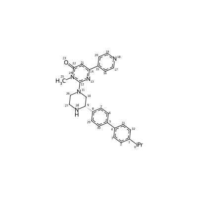 CC(C)c1ccc(-c2ccc([C@H]3CN(c4nc(-c5ccncc5)cc(=O)n4C)CCN3)cc2)cc1